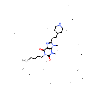 CCOC(=O)CCCCn1c(=O)c2nc(CCC3CCNCC3)n(C)c2n(C)c1=O